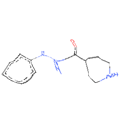 O=C(NNc1ccccc1)C1CCNCC1